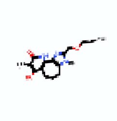 CCn1c(COCCOC)nc2c1CCCc1c-2[nH]c(=O)c(C(=O)O)c1O